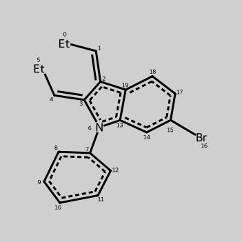 CC/C=c1\c(=C/CC)n(-c2ccccc2)c2cc(Br)ccc12